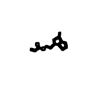 C=CC(=O)OCCC1CC(C)C2C=CCC12